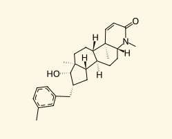 Cc1cccc(C[C@H]2C[C@H]3[C@@H]4CC[C@H]5N(C)C(=O)C=C[C@]5(C)[C@H]4CC[C@]3(C)[C@H]2O)c1